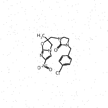 CC1(CN2CCN(Cc3ccc(Cl)cc3)C2=O)Cn2cc([N+](=O)[O-])nc2O1